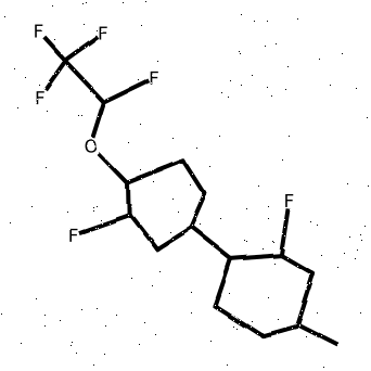 CC1CCC(C2CCC(OC(F)C(F)(F)F)C(F)C2)C(F)C1